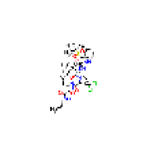 C=CCNC(=O)C(=O)C(CC1CC1)NC(=O)C1C2C(CN1C(=O)[C@@H](NC(=O)NC1(CS(=O)(=O)C(C)(C)C)CCCCC1)C(C)(C)C)C2(Cl)Cl